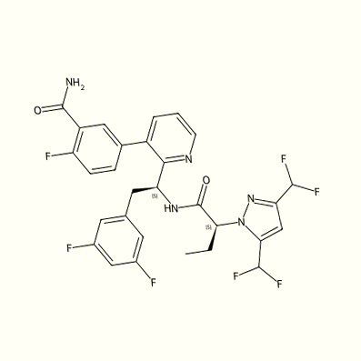 CC[C@@H](C(=O)N[C@@H](Cc1cc(F)cc(F)c1)c1ncccc1-c1ccc(F)c(C(N)=O)c1)n1nc(C(F)F)cc1C(F)F